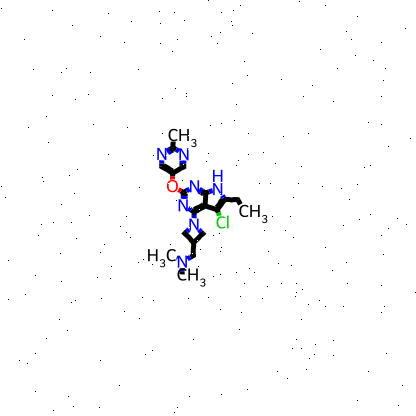 CCc1[nH]c2nc(Oc3cnc(C)nc3)nc(N3CC(CN(C)C)C3)c2c1Cl